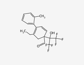 CCC1=C(c2ccccc2C)C=CC(C=O)(C(O)(C(F)(F)F)C(F)(F)F)C1